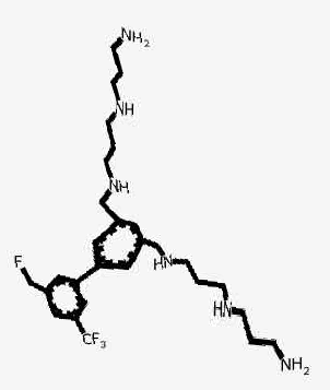 NCCCNCCCNCc1cc(CNCCCNCCCN)cc(-c2cc(CF)cc(C(F)(F)F)c2)c1